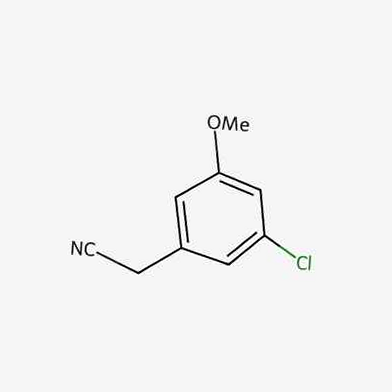 COc1cc(Cl)cc(CC#N)c1